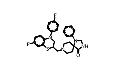 O=C1NCN(c2ccccc2)C12CCN(CC1CN(c3ccc(F)cc3)c3ccc(F)cc3S1)CC2